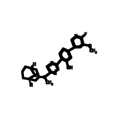 COc1cc(-c2ccc(-c3ncc(N(C)C4C[C@H]5CCC[C@H](C4)N5)nn3)c(O)c2)cnc1F